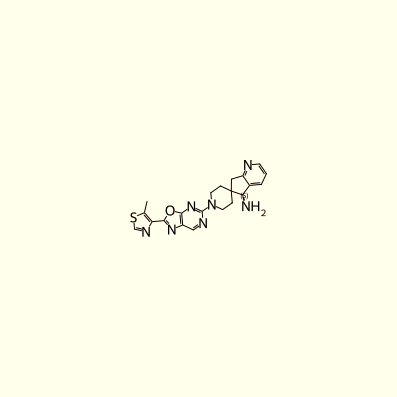 Cc1scnc1-c1nc2cnc(N3CCC4(CC3)Cc3ncccc3[C@H]4N)nc2o1